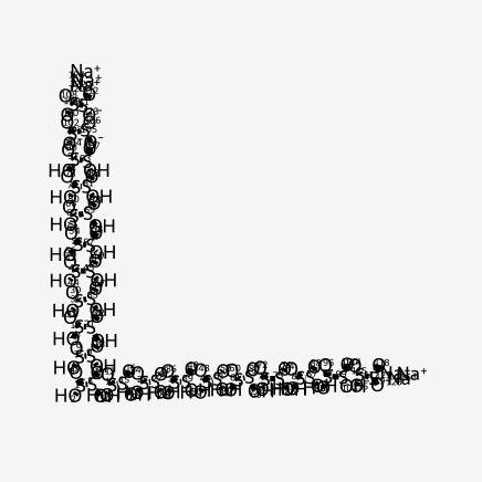 O=S(O)S(=O)O.O=S(O)S(=O)O.O=S(O)S(=O)O.O=S(O)S(=O)O.O=S(O)S(=O)O.O=S(O)S(=O)O.O=S(O)S(=O)O.O=S(O)S(=O)O.O=S(O)S(=O)O.O=S(O)S(=O)O.O=S(O)S(=O)O.O=S(O)S(=O)O.O=S(O)S(=O)O.O=S(O)S(=O)O.O=S(O)S(=O)O.O=S(O)S(=O)O.O=S(O)S(=O)O.O=S([O-])S(=O)[O-].O=S([O-])S(=O)[O-].O=S([O-])S(=O)[O-].[Na+].[Na+].[Na+].[Na+].[Na+].[Na+]